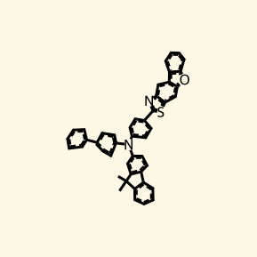 CC1(C)c2ccccc2-c2ccc(N(c3ccc(-c4ccccc4)cc3)c3ccc(-c4nc5cc6c(cc5s4)oc4ccccc46)cc3)cc21